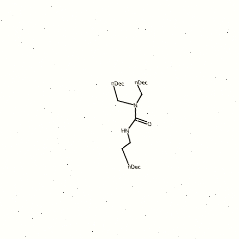 CCCCCCCCCCCCNC(=O)N(CCCCCCCCCCC)CCCCCCCCCCC